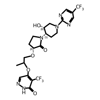 CC(CO[C@@H]1CCN([C@H]2CCN(c3ncc(C(F)(F)F)cn3)C[C@H]2O)C1=O)Oc1cn[nH]c(=O)c1C(F)(F)F